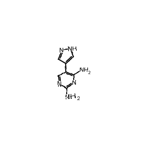 Nc1ncc(-c2cn[nH]c2)c(N)n1